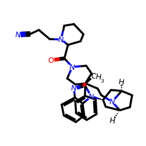 Cc1nc2ccccc2n1[C@H]1C[C@H]2CC[C@@H](C1)N2CCC1(c2ccccc2)CCN(C(=O)C2CCCCN2CCC#N)CC1